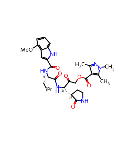 COc1cccc2[nH]c(C(=O)N[C@@H](CC(C)C)C(=O)N[C@@H](C[C@@H]3CCNC3=O)C(=O)COC(=O)c3c(C)nn(C)c3C)cc12